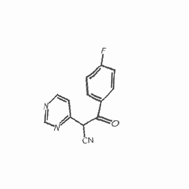 N#CC(C(=O)c1ccc(F)cc1)c1ccncn1